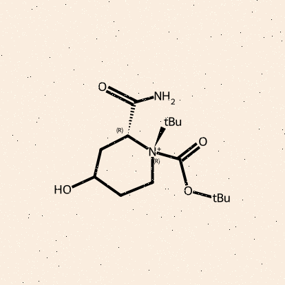 CC(C)(C)OC(=O)[N@+]1(C(C)(C)C)CCC(O)C[C@@H]1C(N)=O